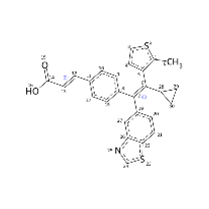 Cc1sccc1/C(=C(\c1ccc(/C=C/C(=O)O)cc1)c1ccc2scnc2c1)C1CC1